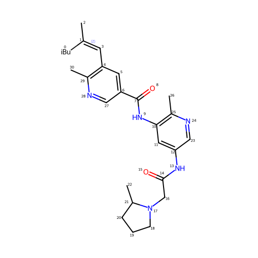 CCC(C)/C(C)=C\c1cc(C(=O)Nc2cc(NC(=O)CN3CCCC3C)cnc2C)cnc1C